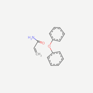 C=CC(N)=O.c1ccc(Oc2ccccc2)cc1